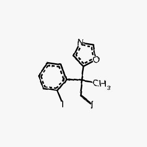 CC(CI)(c1cnco1)c1ccccc1I